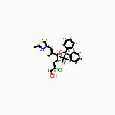 CC(=Cc1csc(C)n1)C(CC=C(Cl)CO)O[Si](c1ccccc1)(c1ccccc1)C(C)(C)C